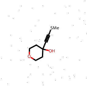 CSC#CC1(O)CCOCC1